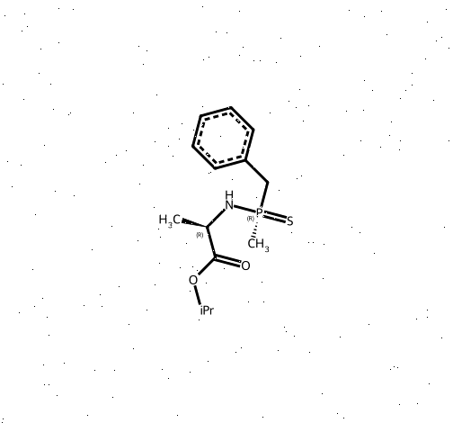 CC(C)OC(=O)[C@@H](C)N[P@](C)(=S)Cc1ccccc1